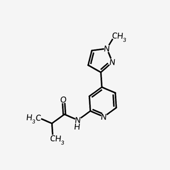 CC(C)C(=O)Nc1cc(-c2ccn(C)n2)ccn1